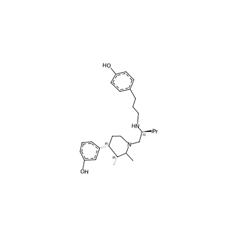 CC(C)[C@@H](CN1CC[C@@H](c2cccc(O)c2)[C@@H](C)C1C)NCCCc1ccc(O)cc1